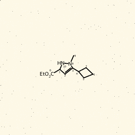 CCOC(=O)C1C=C(C2CCC2)N(C)N1